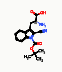 CC(C)(C)OC(=O)n1c(C#N)c(C[C@@H](N)C(=O)O)c2ccccc21